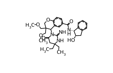 CCC1(CC)CC(=O)N(C2c3cc(C(=O)N[C@@H]4c5ccccc5C[C@H]4O)ccc3OCC2(COC)COC)C(=N)N1